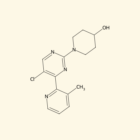 Cc1cccnc1-c1nc(N2CCC(O)CC2)ncc1Cl